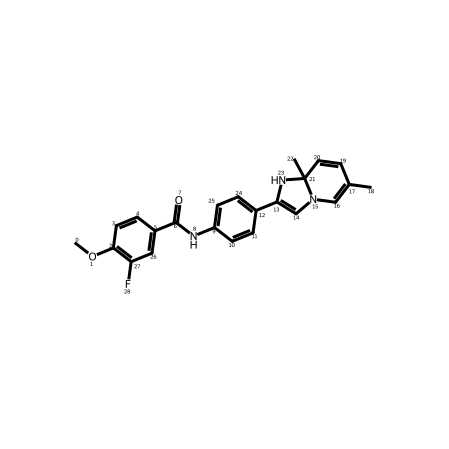 COc1ccc(C(=O)Nc2ccc(C3=CN4C=C(C)C=CC4(C)N3)cc2)cc1F